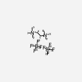 C[N+](C)(C)CC[N+](C)(C)C.F[B-](F)(F)F.F[B-](F)(F)F